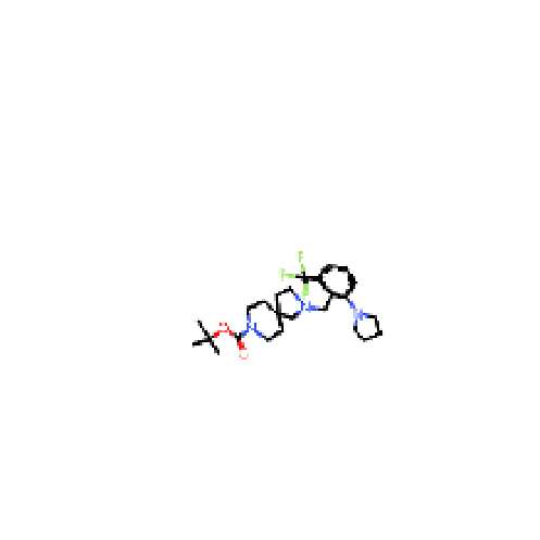 CC(C)(C)OC(=O)N1CCC2(CCN(Cc3c(N4CCCC4)cccc3C(F)(F)F)C2)CC1